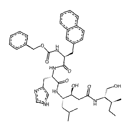 CC[C@H](C)[C@@H](CO)NC(=O)C[C@H](O)[C@H](CC(C)C)NC(=O)[C@H](Cc1c[nH]cn1)NC(=O)[C@H](Cc1ccc2ccccc2c1)NC(=O)OCc1ccccc1